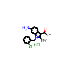 CCCc1c(C(=O)C(C)C)c2ccc(N)cc2n1Cc1ccccc1Cl.Cl